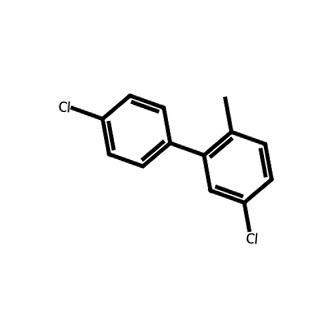 Cc1ccc(Cl)cc1-c1ccc(Cl)cc1